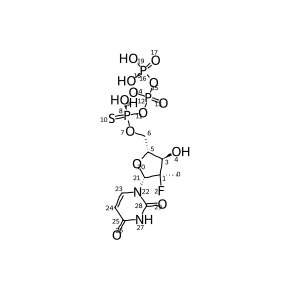 C[C@@]1(F)[C@H](O)[C@@H](CO[P@](O)(=S)OP(=O)(O)OP(=O)(O)O)O[C@H]1n1ccc(=O)[nH]c1=O